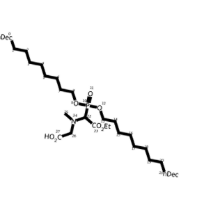 CCCCCCCCCCCCCCCCCCOP(=O)(OCCCCCCCCCCCCCCCCCC)C(C(=O)OCC)N(C)CC(=O)O